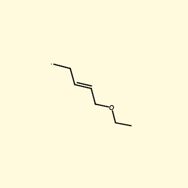 [CH2]CC=CCOCC